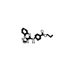 CCCOC(=O)c1ccc(Nc2nc3ccccc3n3nnnc23)cc1